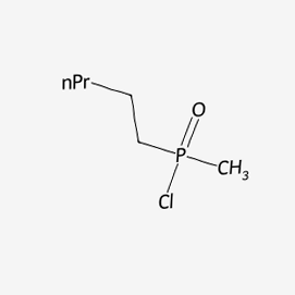 CCCCCP(C)(=O)Cl